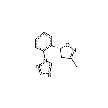 CC1=NO[C@@H](c2ccccc2-n2cncn2)C1